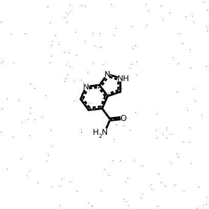 NC(=O)c1ccnc2n[nH]cc12